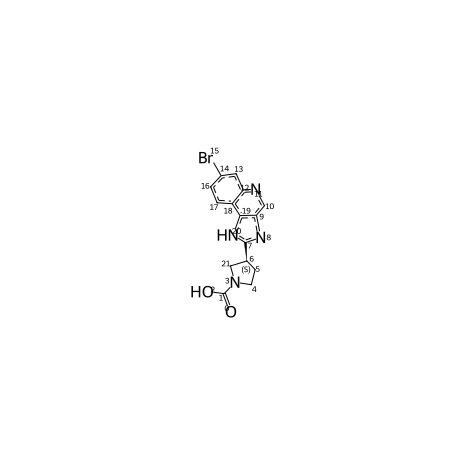 O=C(O)N1CC[C@H](c2nc3cnc4cc(Br)ccc4c3[nH]2)C1